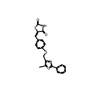 Cc1oc(-c2ccccc2)nc1CSc1ccc(C=C2SC(=O)NC2=O)cc1